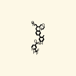 Cc1ccc(NC(=O)c2ccnc(C(F)(F)F)c2)cc1-c1ccc2c(c1)N1CCOCC1C(CN=O)C2